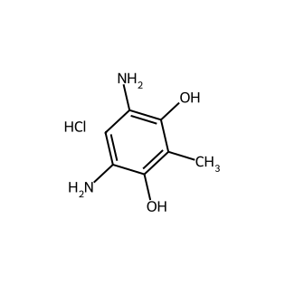 Cc1c(O)c(N)cc(N)c1O.Cl